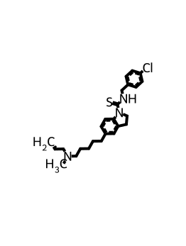 C=CCN(C)CCCCCc1ccc2c(c1)CCN2C(=S)NCc1ccc(Cl)cc1